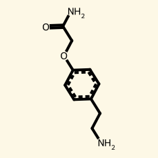 NCCc1ccc(OCC(N)=O)cc1